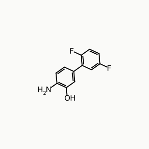 Nc1ccc(-c2cc(F)ccc2F)cc1O